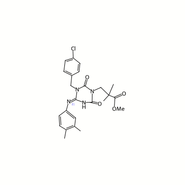 COC(=O)C(C)(C)Cn1c(=O)[nH]/c(=N\c2ccc(C)c(C)c2)n(Cc2ccc(Cl)cc2)c1=O